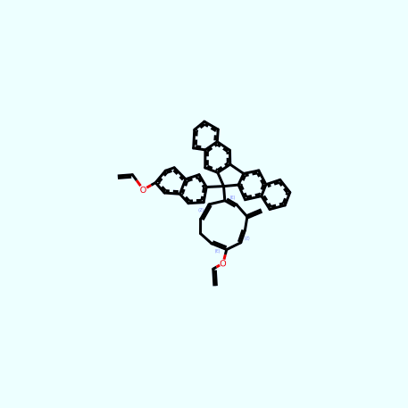 C=COC1=C/C/C=C\C(C2(c3ccc4cc(OC=C)ccc4c3)c3cc4ccccc4cc3-c3cc4ccccc4cc32)=C/C(=C)/C=C\1